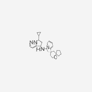 c1ccc([C@]2(CCNC3CC(C4CC4)n4nccc43)CCOC3(CCCC3)C2)nc1